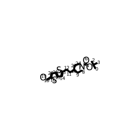 CC(C)(C)OC(=O)N1CCC(CCc2cc3sc(C=O)cc3s2)CC1